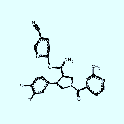 Cc1nccc(C(=O)N2CC(c3ccc(Cl)c(Cl)c3)C(C(C)Oc3ccc(C#N)cn3)C2)n1